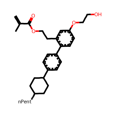 C=C(C)C(=O)OCCc1cc(OCCO)ccc1-c1ccc(C2CCC(CCCCC)CC2)cc1